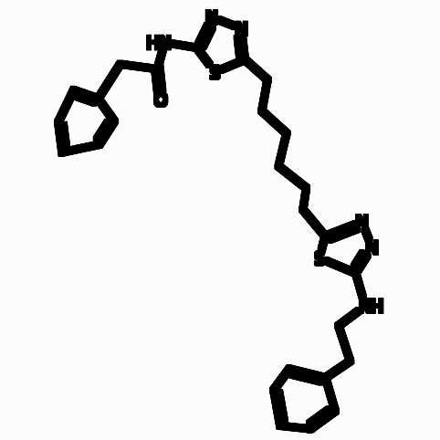 O=C(Cc1ccccc1)Nc1nnc(CCCCCCc2nnc(NCCc3ccccc3)s2)s1